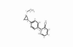 CC[C@H]1C[C@@H]1c1ccc(-n2ncccc2=O)cc1